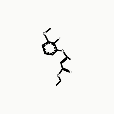 CCOC(=O)C=C(C)Oc1cccc(OC)c1F